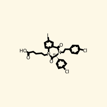 O=C(O)CCCCN1C(=O)[C@@H](c2ccc(Cl)cc2)N(CCc2ccc(Cl)cc2)C(=O)c2cc(I)ccc21